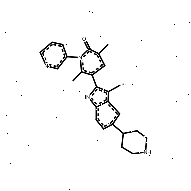 Cc1cc(-c2[nH]c3ccc(C4CCNCC4)cc3c2C(C)C)c(C)n(-c2cccnc2)c1=O